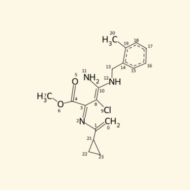 C=C(/N=C(C(=O)OC)\C(Cl)=C(/N)NCc1ccccc1C)C1CC1